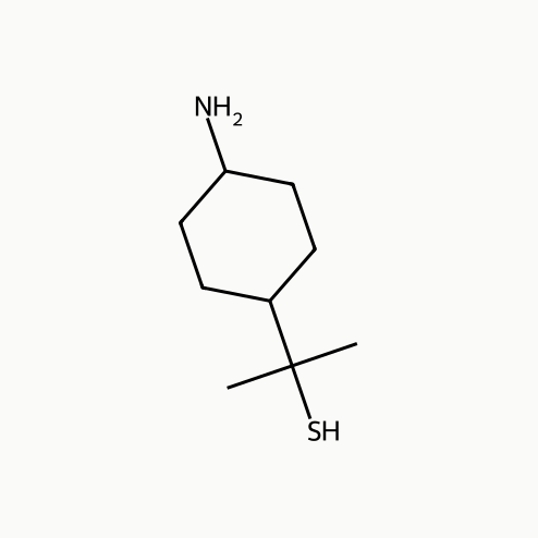 CC(C)(S)C1CCC(N)CC1